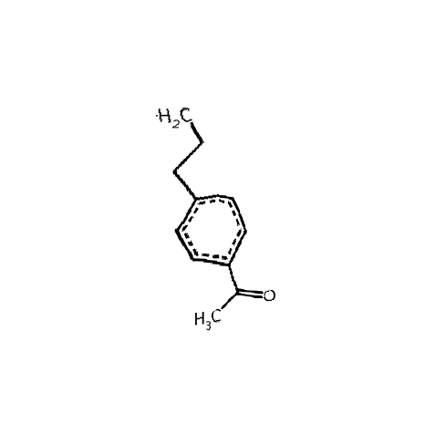 [CH2]CCc1ccc(C(C)=O)cc1